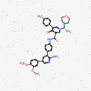 COc1ccc(-c2cnc(N)c(-c3ccc(NC(=O)c4cn([C@@H](C)C5CCOCC5)cc(-c5ccc(C)cc5)c4=O)cc3)c2)cc1OC